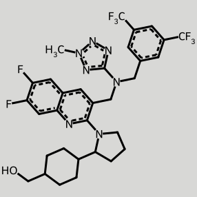 Cn1nnc(N(Cc2cc(C(F)(F)F)cc(C(F)(F)F)c2)Cc2cc3cc(F)c(F)cc3nc2N2CCCC2C2CCC(CO)CC2)n1